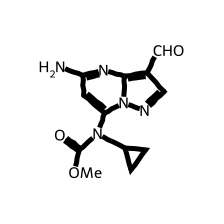 COC(=O)N(c1cc(N)nc2c(C=O)cnn12)C1CC1